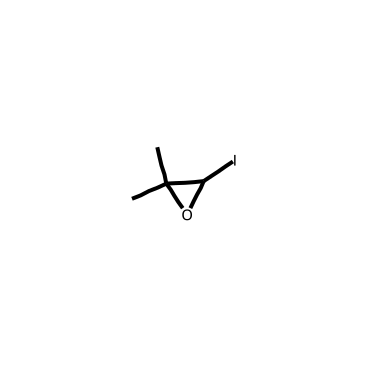 CC1(C)OC1I